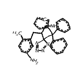 Cc1ccc(N)cc1CC(CN)C1(C(c2ccccc2)(c2ccccc2)c2ccccc2)N=NN=N1